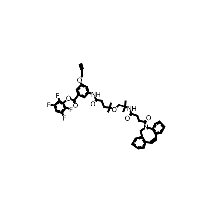 C#CCOc1cc(NC(=O)CCC(C)(C)OCC(C)(C)NC(=O)CCC(=O)N2Cc3ccccc3C#Cc3ccccc32)cc(C(=O)Oc2c(F)c(F)cc(F)c2F)c1